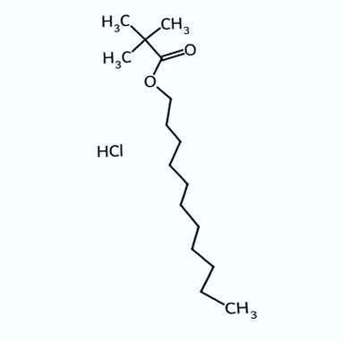 CCCCCCCCCCCOC(=O)C(C)(C)C.Cl